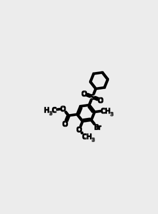 COC(=O)c1cc(S(=O)(=O)C2CCCCC2)c(C)c(Br)c1OC